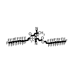 CC(C#N)(CCC(=O)OCCC(F)(F)C(F)(F)C(F)(F)C(F)(F)C(F)(F)C(F)(F)C(F)(F)C(F)(F)F)N=NC(C)(C#N)CCC(=O)OCCC(F)(F)C(F)(F)C(F)(F)C(F)(F)C(F)(F)C(F)(F)C(F)(F)C(F)(F)F